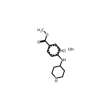 COC(=O)c1ccc(NC2CCNCC2)cc1.Cl.Cl